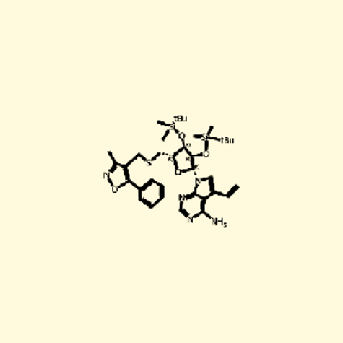 C=Cc1cn([C@@H]2O[C@H](CSCc3c(C)noc3-c3ccccc3)[C@@H](O[Si](C)(C)C(C)(C)C)[C@H]2O[Si](C)(C)C(C)(C)C)c2ncnc(N)c12